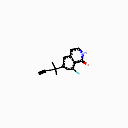 C#CC(C)(C)c1cc(F)c2c(=O)[nH]ccc2c1